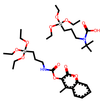 CCO[Si](CCCN(C(=O)O)C(C)(C)C)(OCC)OCC.CCO[Si](CCCNC(=O)Oc1c(C)c2ccccc2oc1=O)(OCC)OCC